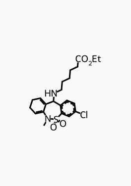 CCOC(=O)CCCCCNC1C2=CCCC=C2N(C)S(=O)(=O)c2cc(Cl)ccc21